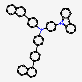 c1ccc2cc(-c3ccc(N(c4ccc(-c5ccc(-c6cccc7ccccc67)cc5)cc4)c4ccc(-n5c6ccccc6c6ccccc65)cc4)cc3)ccc2c1